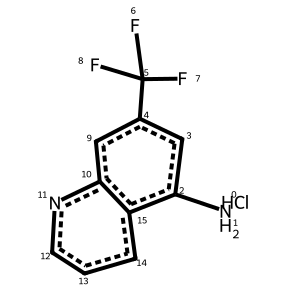 Cl.Nc1cc(C(F)(F)F)cc2ncccc12